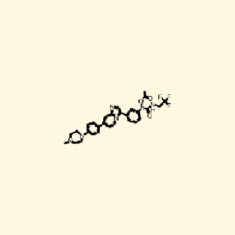 CC(=O)ON(C(=O)NCC(F)(F)F)c1cccc(-c2cnc3cc(-c4ccc(N5CCN(C)CC5)cc4)ccn23)c1